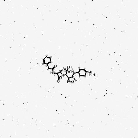 COc1ccc(Cn2nnnc2C2N3C(=O)C(NC(=O)Cc4ccccc4)C3SC2(C)C)cc1